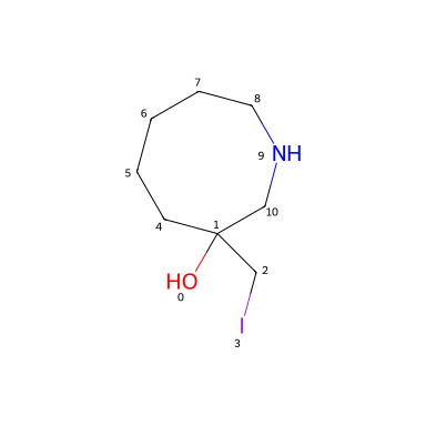 OC1(CI)CCCCCNC1